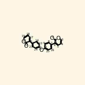 O=c1occcc1-c1ccc(Oc2ccc(-c3cccoc3=O)cc2)cc1